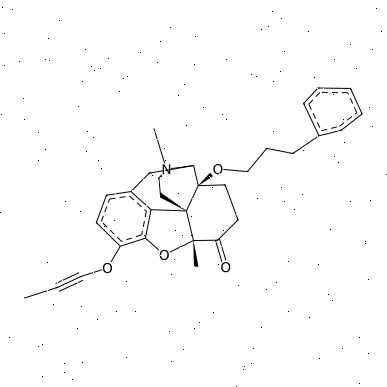 CC#COc1ccc2c3c1O[C@@]1(C)C(=O)CC[C@@]4(OCCCc5ccccc5)C(C2)N(C)CC[C@]314